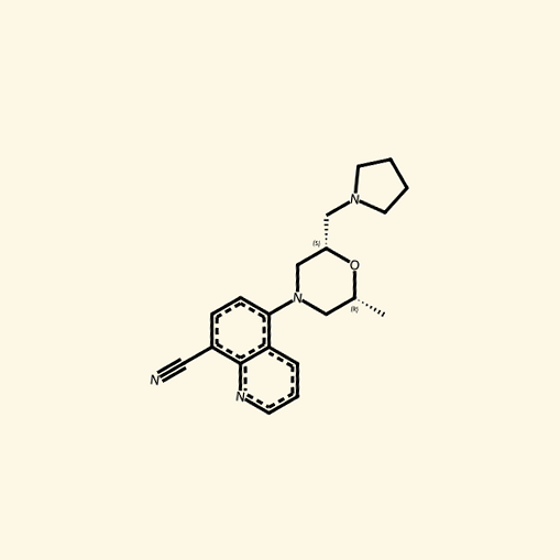 C[C@@H]1CN(c2ccc(C#N)c3ncccc23)C[C@H](CN2CCCC2)O1